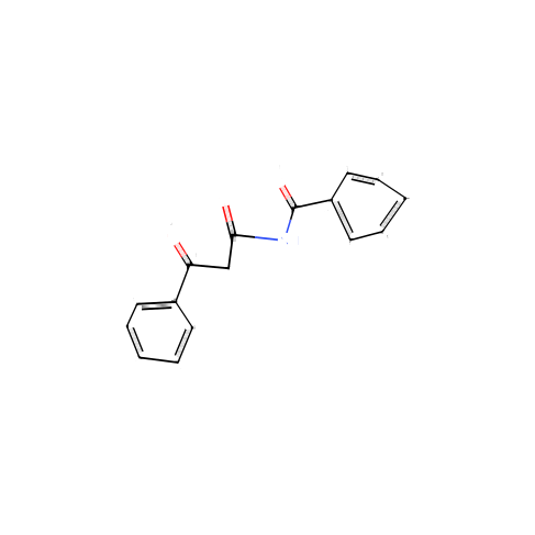 O=C(CC(=O)c1ccccc1)NC(=O)c1ccccc1